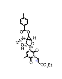 CCOC(=O)/C=C/n1c(=O)c(C)cn([C@@H]2O[C@@H]3C(OC(=O)c4ccc(C)cc4)C3(N=[N+]=[N-])[C@H]2O)c1=O